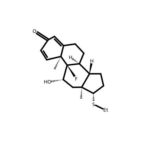 CCS[C@H]1CC[C@H]2[C@@H]3CCC4=CC(=O)C=C[C@]4(C)[C@@]3(F)[C@@H](O)C[C@]12C